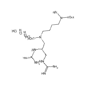 CCCCCCCCN(CCC)CCCCN(CCCCCCCC)CC(CNC(=N)N)NC(=N)N.Cl.Cl.Cl.Cl